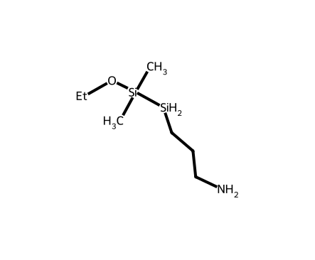 CCO[Si](C)(C)[SiH2]CCCN